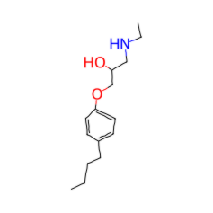 CCCCc1ccc(OCC(O)CNCC)cc1